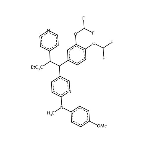 CCOC(=O)C(c1ccncc1)C(c1ccc(N(C)c2ccc(OC)cc2)nc1)c1ccc(OC(F)F)c(OC(F)F)c1